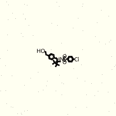 CC1(C)C(C)(C)C1(CNS(=O)(=O)c1ccc(Cl)cc1)Cc1ccc(CCO)cc1